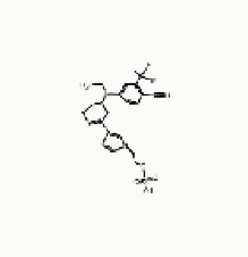 CCN(c1ccc(C#N)c(C(F)(F)F)c1)C1CCC=C(c2cn(CCOS(=O)(=O)O)cn2)C1